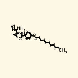 CCCCCCCCCCCOc1ccc(C(=O)NC2(/C(N)=N/Cl)CC2)cc1